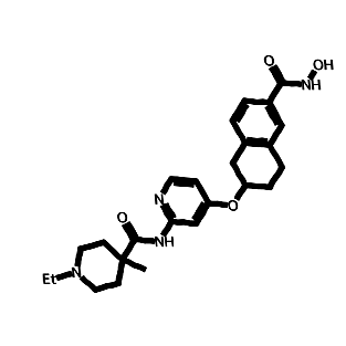 CCN1CCC(C)(C(=O)Nc2cc(OC3CCc4cc(C(=O)NO)ccc4C3)ccn2)CC1